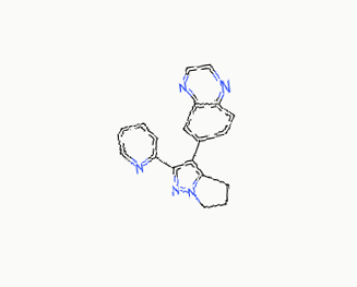 c1ccc(-c2nn3c(c2-c2ccc4nccnc4c2)CCC3)nc1